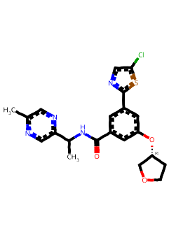 Cc1cnc(C(C)NC(=O)c2cc(O[C@@H]3CCOC3)cc(-c3ncc(Cl)s3)c2)cn1